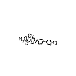 CN(C)C(=O)N1CCN(N2CC=C(c3ccc(Cl)cc3)CC2)CC1